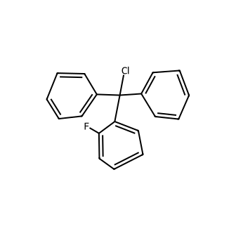 Fc1ccccc1C(Cl)(c1ccccc1)c1ccccc1